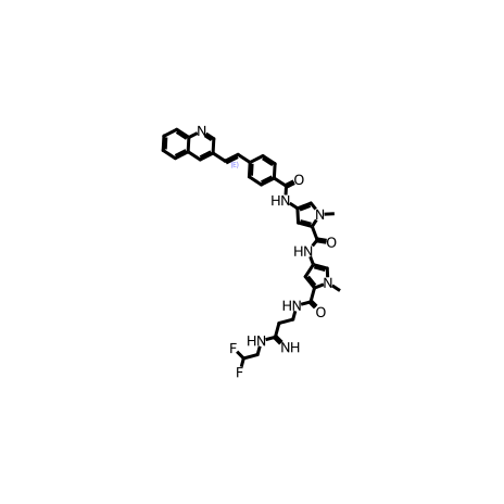 Cn1cc(NC(=O)c2cc(NC(=O)c3ccc(/C=C/c4cnc5ccccc5c4)cc3)cn2C)cc1C(=O)NCCC(=N)NCC(F)F